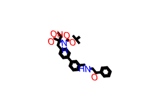 CCC(Cc1ccc(-c2cccc(CNCC(=O)c3ccccc3)c2)cc1)(NC(=O)OC(C)(C)C)C(=O)O